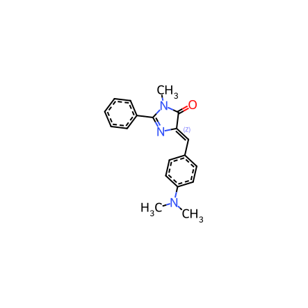 CN1C(=O)/C(=C/c2ccc(N(C)C)cc2)N=C1c1ccccc1